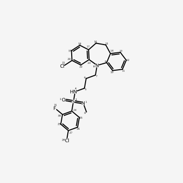 CN=S(=O)(NCCCN1c2ccccc2CCc2ccc(Cl)cc21)c1ccc(Cl)cc1F